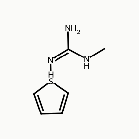 CNC(N)=N[SH]1C=CC=C1